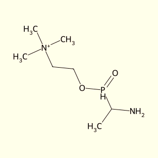 CC(N)[PH](=O)OCC[N+](C)(C)C